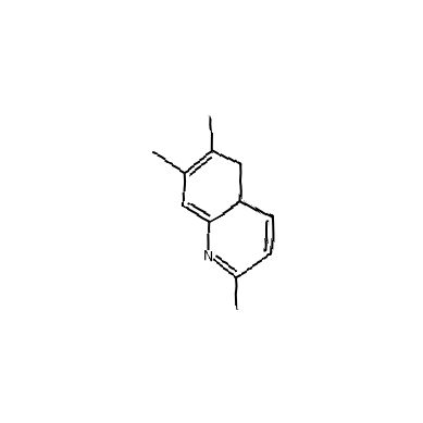 CC1=NC2=CC(C)=C(C)CC2C=C1